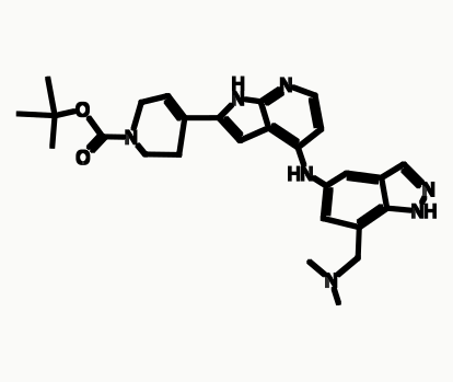 CN(C)Cc1cc(Nc2ccnc3[nH]c(C4=CCN(C(=O)OC(C)(C)C)CC4)cc23)cc2cn[nH]c12